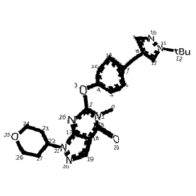 Cn1c(Oc2ccc(-c3cnn(C(C)(C)C)c3)cc2)nc2c(cnn2C2CCOCC2)c1=O